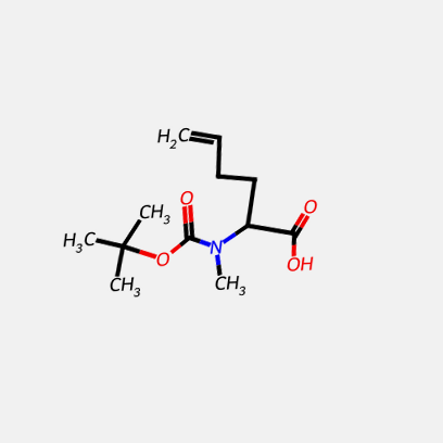 C=CCCC(C(=O)O)N(C)C(=O)OC(C)(C)C